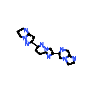 c1cnc2cc(-c3ccc4nc(-c5cn6ccnc6cn5)cn4n3)nn2c1